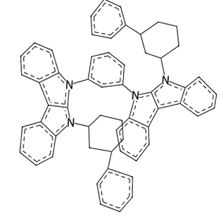 c1ccc(C2CCCC(n3c4ccccc4c4c5ccccc5n(-c5cccc(-n6c7ccccc7c7c8ccccc8n(C8CCCC(c9ccccc9)C8)c76)c5)c43)C2)cc1